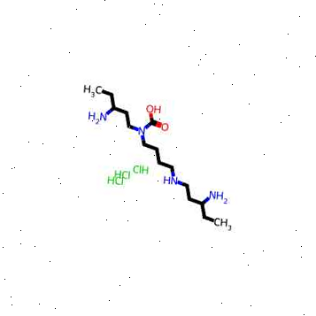 CCC(N)CCNCCCCN(CCC(N)CC)C(=O)O.Cl.Cl.Cl